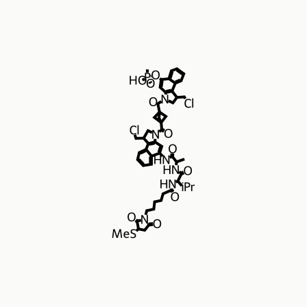 CSC1CC(=O)N(CCCCCC(=O)NC(C(=O)NC(C)C(=O)Nc2cc3c(c4ccccc24)C(CCl)CN3C(=O)C23CC(C(=O)N4CC(CCl)c5c4cc(OP(C)(=O)O)c4ccccc54)(C2)C3)C(C)C)C1=O